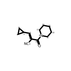 N#CC(=CC1CC1)C(=O)N1CC[CH]CC1